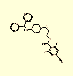 Cc1cc(C#N)cc(C)c1C(=O)NCC[C@@H](C)N1CCC(NC(c2ccccc2)c2cccnc2)CC1